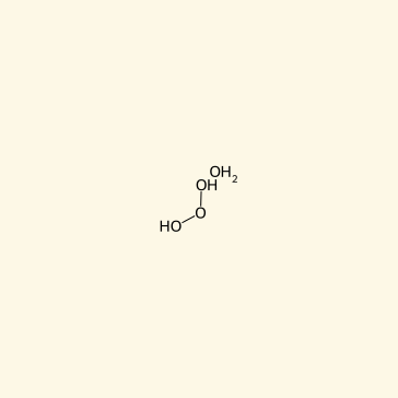 O.OOO